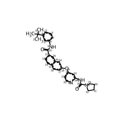 CC(C)(C)c1cccc(NC(=O)c2ccc3ccc(Oc4ccnc(NC(=O)N5CCCC5)c4)cc3c2)c1